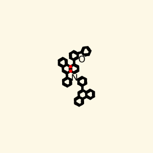 c1cc(-c2cc3ccccc3c3ccccc23)cc(N(c2ccc(-c3cccc4c3oc3ccccc34)cc2)c2ccccc2-c2ccc3ccccc3c2)c1